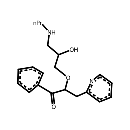 CCCNCC(O)COC(Cc1ccccn1)C(=O)c1ccccc1